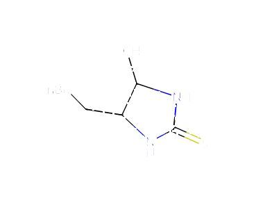 [CH2]CCCCC1NC(=S)NC1C